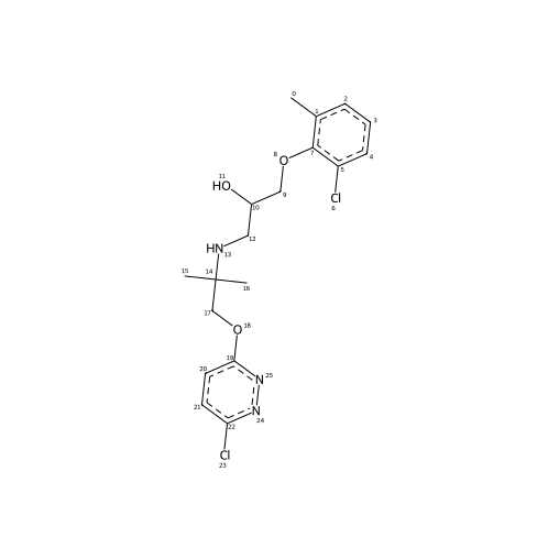 Cc1cccc(Cl)c1OCC(O)CNC(C)(C)COc1ccc(Cl)nn1